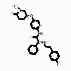 CN1C[C@H](Oc2ccc(NC(=O)[C@@H](NCCc3ccc(Cl)cc3)c3ccccc3)nc2)CCC1=O